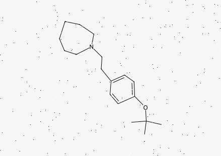 CC(C)(C)Oc1ccc(CCN2CCCCCC2)cc1